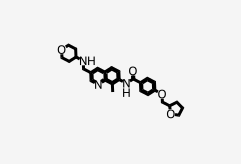 Cc1c(NC(=O)c2ccc(OCC3CCCO3)cc2)ccc2cc(CNC3CCOCC3)cnc12